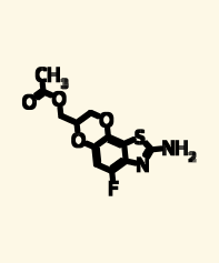 CC(=O)OCC1COc2c(cc(F)c3nc(N)sc23)O1